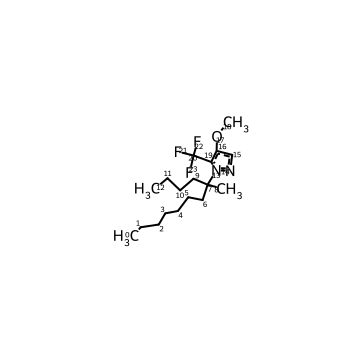 CCCCCCCC(C)(CCCC)n1ncc(OC)c1C(F)(F)F